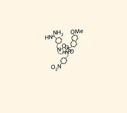 COc1ccc2ccc(S(=O)(=O)N(Cc3ccc([N+](=O)[O-])cc3)[C@H]3CCN(Cc4cccc(C(=N)N)c4)C3=O)cc2c1